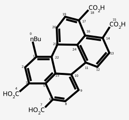 [CH2]CCCc1cc(C(=O)O)c2c(C(=O)O)ccc3c4ccc(C(=O)O)c5c(C(=O)O)ccc(c1c23)c54